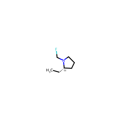 CC[C@H]1CCCN1CF